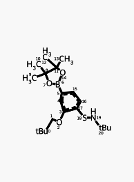 CC(C)(C)COc1cc(B2OC(C)(C)C(C)(C)O2)ccc1SNC(C)(C)C